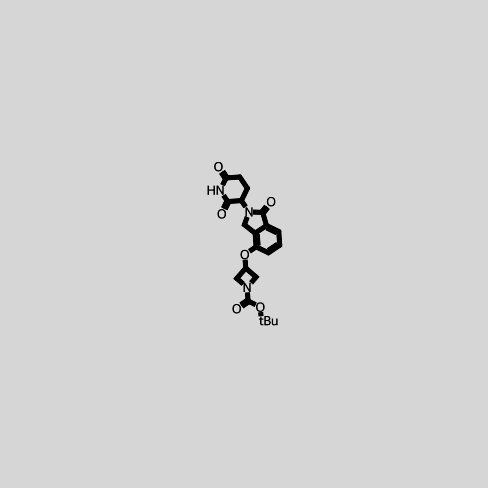 CC(C)(C)OC(=O)N1CC(Oc2cccc3c2CN(C2CCC(=O)NC2=O)C3=O)C1